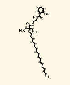 CCC=CCC=CCC=CCCCCCCCCSC(CC)(CC)C(=O)OCCNC(=O)c1ccccc1O